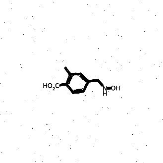 Cc1cc(CNO)ccc1C(=O)O